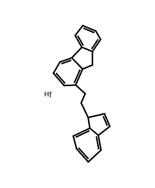 C1=CC(CCc2cccc3c2Cc2ccccc2-3)c2ccccc21.[Hf]